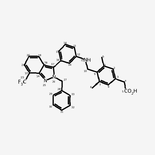 Cc1cc(CC(=O)O)cc(C)c1CNc1cccc(-c2c3cccc(C(F)(F)F)c3nn2Cc2ccccc2)c1